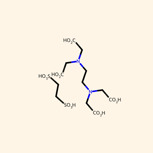 O=C(O)CN(CCN(CC(=O)O)CC(=O)O)CC(=O)O.O=S(=O)(O)CCS(=O)(=O)O